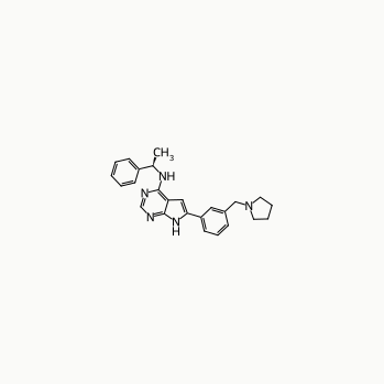 C[C@@H](Nc1ncnc2[nH]c(-c3cccc(CN4CCCC4)c3)cc12)c1ccccc1